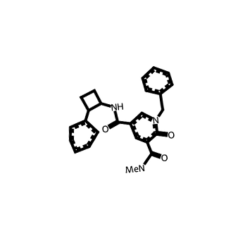 CNC(=O)c1cc(C(=O)NC2CCC2c2ccccc2)cn(Cc2ccccc2)c1=O